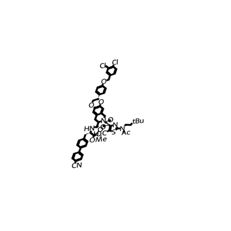 COC(=O)[C@H](Cc1ccc(-c2ccc(C#N)cc2)cc1)NC(=O)C1Cc2cc3c(cc2CN1S(=O)(=O)c1nc(N(CCC(C)(C)C)C(C)=O)sc1C)O[C@@H](c1ccc(OCc2ccc(Cl)c(Cl)c2)cc1)CO3